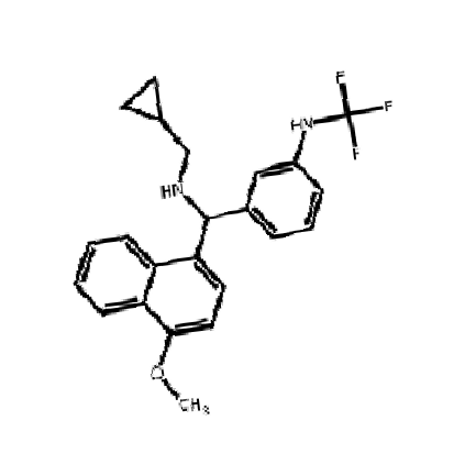 COc1ccc(C(NCC2CC2)c2cccc(NC(F)(F)F)c2)c2ccccc12